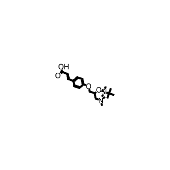 CN(C)CC(COc1ccc(/C=C/C(=O)O)cc1)O[Si](C)(C)C(C)(C)C